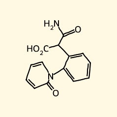 NC(=O)C(C(=O)O)c1ccccc1-n1ccccc1=O